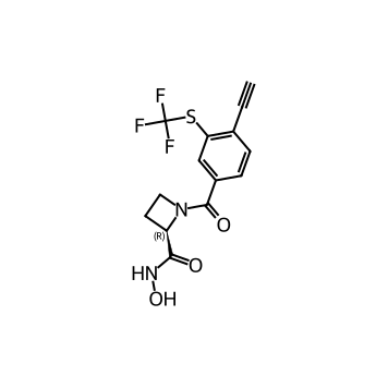 C#Cc1ccc(C(=O)N2CC[C@@H]2C(=O)NO)cc1SC(F)(F)F